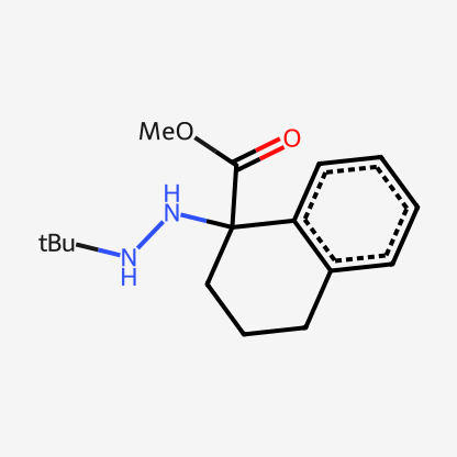 COC(=O)C1(NNC(C)(C)C)CCCc2ccccc21